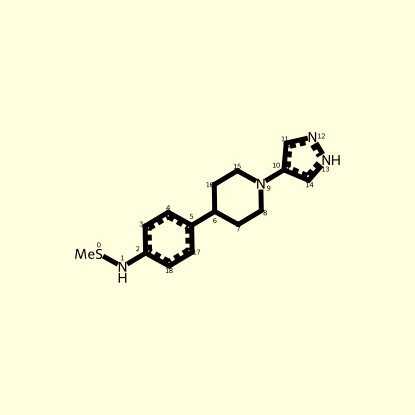 CSNc1ccc(C2CCN(c3cn[nH]c3)CC2)cc1